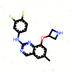 Cc1cc(OC2CNC2)c2nc(Nc3ccc(F)c(F)c3)ncc2c1